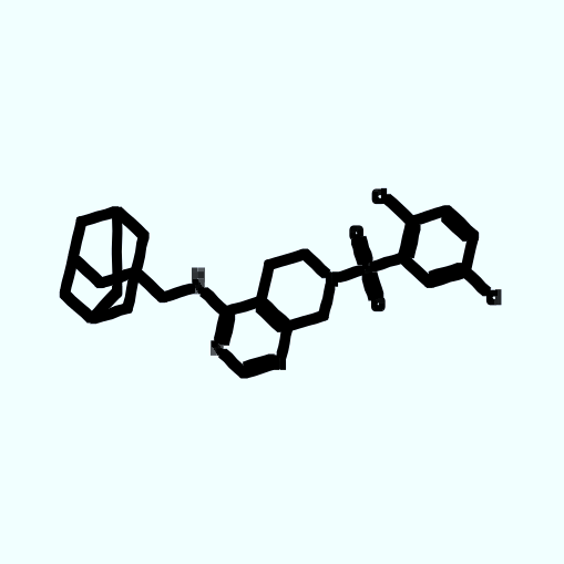 O=S(=O)(c1cc(Cl)ccc1Cl)N1CCc2c(ncnc2NCC23CC4CC(CC(C4)C2)C3)C1